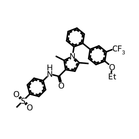 CCOc1ccc(-c2ccccc2-n2c(C)cc(C(=O)Nc3ccc(S(C)(=O)=O)cc3)c2C)cc1C(F)(F)F